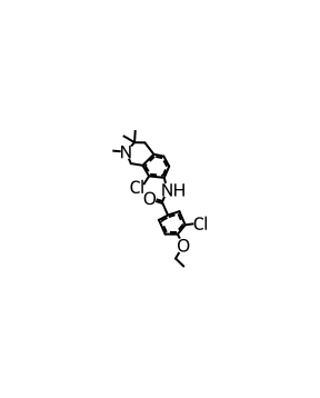 CCOc1ccc(C(=O)Nc2ccc3c(c2Cl)CN(C)C(C)(C)C3)cc1Cl